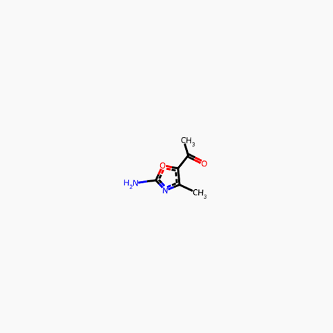 CC(=O)c1oc(N)nc1C